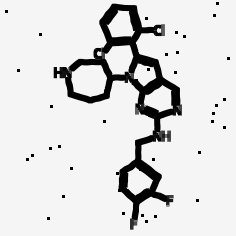 Fc1ccc(CNc2ncc3cc(-c4c(Cl)cccc4Cl)n(C4CCCNCC4)c3n2)cc1F